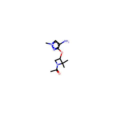 CC(=O)N1CC(Oc2nn(C)cc2N)C1(C)C